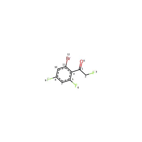 O=C(CF)c1c(F)cc(F)cc1Br